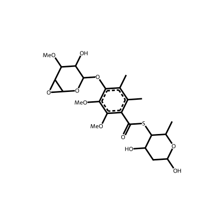 COc1c(OC2OC3OC3C(OC)C2O)c(C)c(C)c(C(=O)SC2C(O)CC(O)OC2C)c1OC